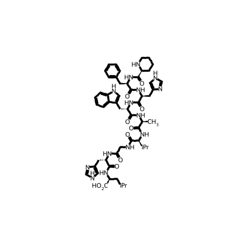 CC(C)C[C@H](NC(=O)[C@H](Cc1c[nH]cn1)NC(=O)CNC(=O)[C@@H](NC(=O)[C@H](C)NC(=O)[C@H](Cc1c[nH]c2ccccc12)NC(=O)[C@H](Cc1c[nH]cn1)NC(=O)[C@@H](Cc1ccccc1)NC(=O)[C@@H]1CCCCN1)C(C)C)C(=O)O